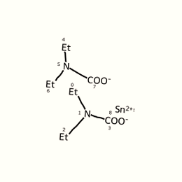 CCN(CC)C(=O)[O-].CCN(CC)C(=O)[O-].[Sn+2]